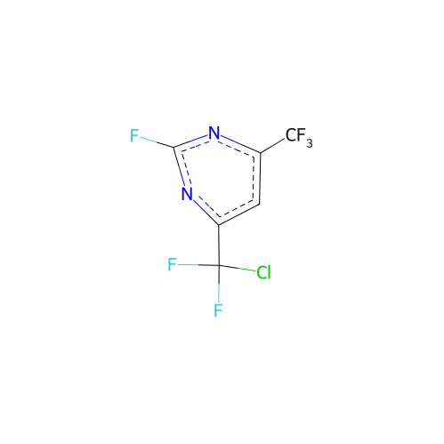 Fc1nc(C(F)(F)F)cc(C(F)(F)Cl)n1